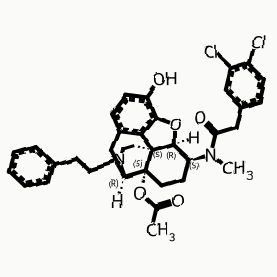 CC(=O)O[C@@]12CC[C@H](N(C)C(=O)Cc3ccc(Cl)c(Cl)c3)[C@@H]3Oc4c(O)ccc5c4[C@@]31CCN(CCc1ccccc1)[C@@H]2C5